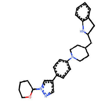 [CH](C1CCN(c2ccc(-c3cnn(C4CCCCO4)c3)cc2)CC1)C1Cc2ccccc2N1